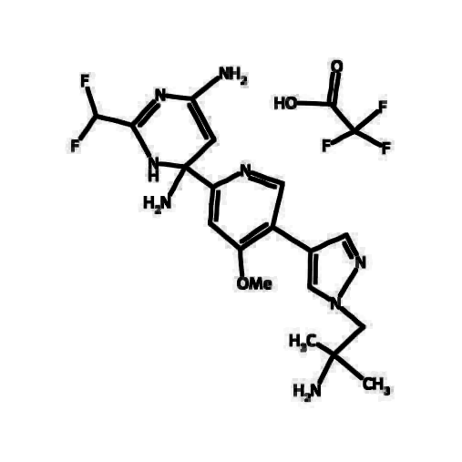 COc1cc(C2(N)C=C(N)N=C(C(F)F)N2)ncc1-c1cnn(CC(C)(C)N)c1.O=C(O)C(F)(F)F